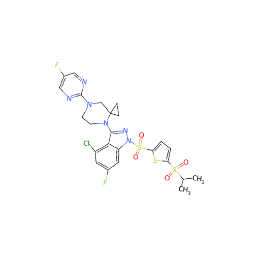 CC(C)S(=O)(=O)c1ccc(S(=O)(=O)n2nc(N3CCN(c4ncc(F)cn4)CC34CC4)c3c(Cl)cc(F)cc32)s1